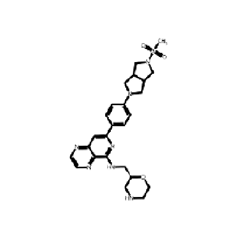 CS(=O)(=O)N1CC2CN(c3ccc(-c4cc5nccnc5c(NC[C@@H]5CNCCO5)n4)cc3)CC2C1